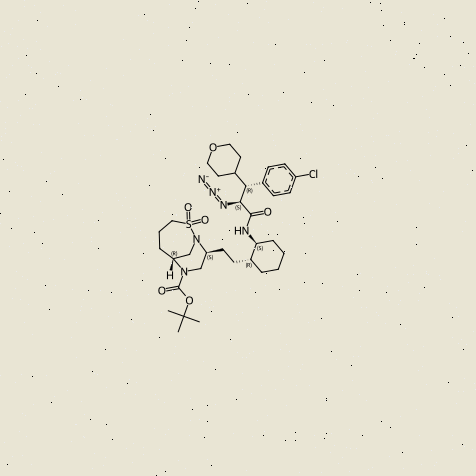 CC(C)(C)OC(=O)N1C[C@H](CC[C@H]2CCCC[C@@H]2NC(=O)[C@@H](N=[N+]=[N-])[C@@H](c2ccc(Cl)cc2)C2CCOCC2)N2C[C@H]1CCCS2(=O)=O